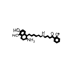 COc1ccccc1C(=O)CCCNCCCCCCC1c2ccc(O)c(O)c2CCC1N